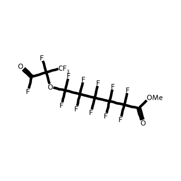 COC(=O)C(F)(F)C(F)(F)C(F)(F)C(F)(F)C(F)(F)OC(F)(C(=O)F)C(F)(F)F